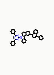 c1ccc(-c2nc(-c3ccccc3)nc(-n3c4ccccc4c4c5cc(-c6ccc(-c7ccccc7)c7ccccc67)ccc5ccc43)n2)cc1